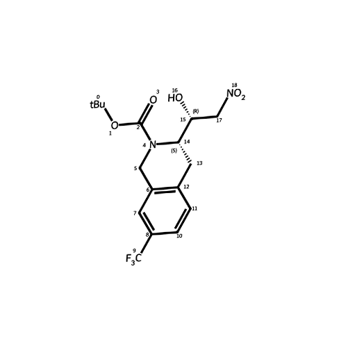 CC(C)(C)OC(=O)N1Cc2cc(C(F)(F)F)ccc2C[C@H]1[C@H](O)C[N+](=O)[O-]